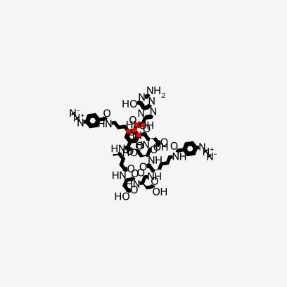 C[C@H](CCC(=O)NC(CC(=O)O)C(=O)N[C@H](CC(=O)O)C(=O)N[C@@H](CCCCNC(=O)c1ccc(N=[N+]=[N-])cc1)C(=O)N[C@@H](CC(=O)O)C(=O)N[C@@H](CC(=O)O)C(=O)N[C@@H](CCCCNC(=O)c1ccc(N=[N+]=[N-])cc1)C(=O)O)NC(=O)c1ccc(NCc2cnc3nc(N)nc(O)c3n2)cc1